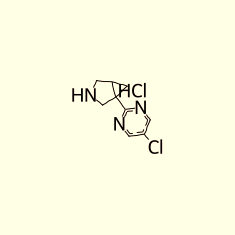 Cl.Clc1cnc(C23CNCC2C3)nc1